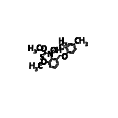 COC(=S)N(O)c1c(COc2ccc(C)cc2C)cccc1OC